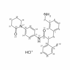 Cl.NCc1cccc(CC(C(=O)Nc2ccc(N3CCCCC3=O)cc2)c2ccccc2F)c1